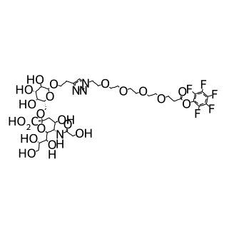 O=C(CO)N[C@@H]1[C@@H]([C@@H](O)[C@@H](O)CO)O[C@@](OC[C@H]2O[C@@H](OCCc3cn(CCOCCOCCOCCOCCC(=O)Oc4c(F)c(F)c(F)c(F)c4F)nn3)[C@H](O)[C@@H](O)[C@H]2O)(C(=O)O)C[C@H]1O